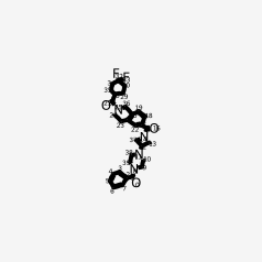 O=C(c1ccccc1)N1CCN(C2CN(C(=O)c3ccc4c(c3)CCN(C(=O)C3CCC(F)(F)CC3)C4)C2)CC1